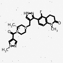 C[C@@H]1CN(Cc2c[nH]nc2-c2ccc3c(c2F)CCC(=O)N3C)CCN1C(=O)c1cnn(C)c1